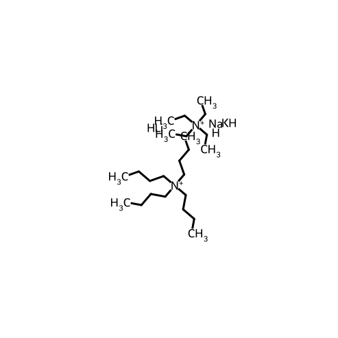 CCCC[N+](CCCC)(CCCC)CCCC.CC[N+](CC)(CC)CC.[KH].[LiH].[NaH]